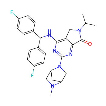 CC(C)N1Cc2c(NC(c3ccc(F)cc3)c3ccc(F)cc3)nc(N3CC4CC3CN4C)nc2C1=O